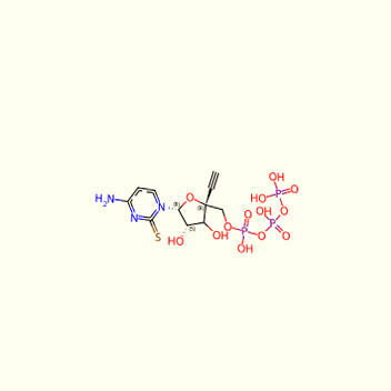 C#C[C@]1(COP(=O)(O)OP(=O)(O)OP(=O)(O)O)O[C@@H](n2ccc(N)nc2=S)[C@@H](O)C1O